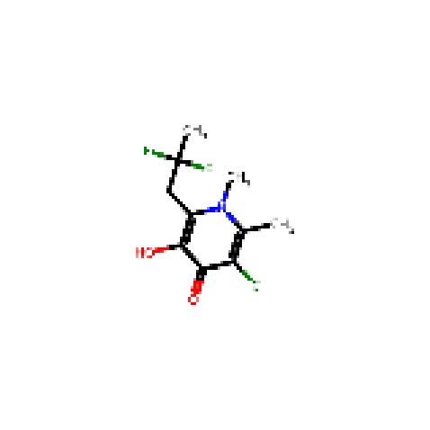 Cc1c(Cl)c(=O)c(O)c(CC(C)(F)F)n1C